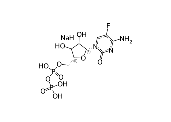 Nc1nc(=O)n([C@@H]2O[C@H](COP(=O)(O)OP(=O)(O)O)C(O)C2O)cc1F.[NaH]